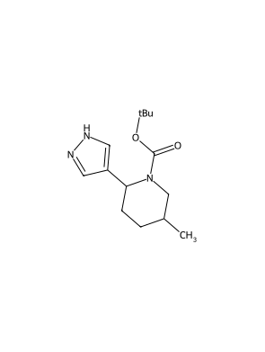 CC1CCC(c2cn[nH]c2)N(C(=O)OC(C)(C)C)C1